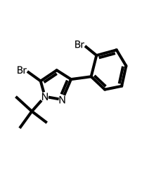 CC(C)(C)n1nc(-c2ccccc2Br)cc1Br